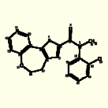 CN(C(=O)c1cc2c(s1)-c1cnccc1OCC2)c1ccccc1Cl